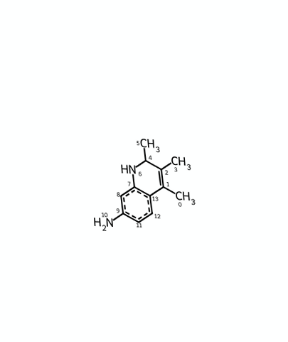 CC1=C(C)C(C)Nc2cc(N)ccc21